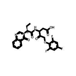 CC[C@@H](C(=O)NC(CC(=O)O)C(=O)COc1c(F)cc(F)cc1F)n1cnc2ccccc2c1=O